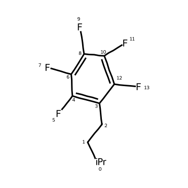 CC(C)CCc1c(F)c(F)c(F)c(F)c1F